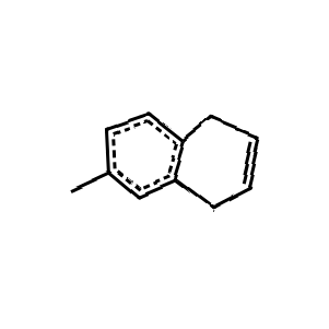 Cc1ccc2c(c1)[CH]C=CC2